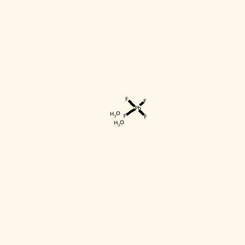 O.O.[F][Pb]([F])([F])[F]